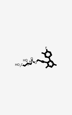 Cc1cc(C)c(C#CCO[PH](=O)C[C@@H](O)CC(=O)O)c(-c2ccc(F)c(C)c2)c1